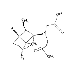 C[C@@H]1[C@H]2C[C@H]3C[C@]1(N(CC(=O)O)CC(=O)O)C32C